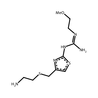 COCC/N=C(/N)Nc1nc(CSCCN)cs1